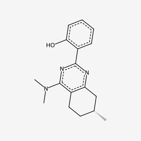 C[C@@H]1CCc2c(nc(-c3ccccc3O)nc2N(C)C)C1